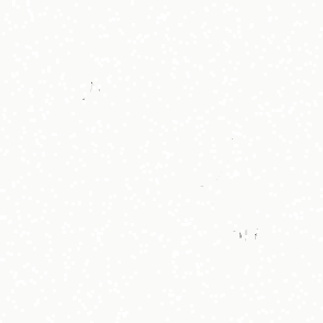 NC1=CC=C(O)CC=C1